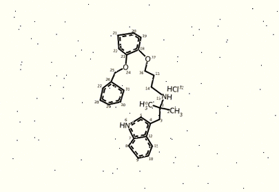 CC(C)(Cc1c[nH]c2ccccc12)NCCCOc1ccccc1OCc1ccccc1.Cl